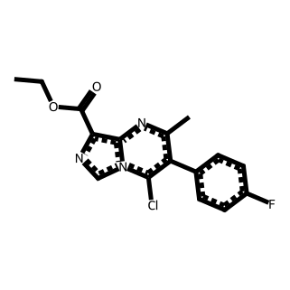 CCOC(=O)c1ncn2c(Cl)c(-c3ccc(F)cc3)c(C)nc12